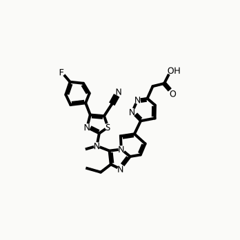 CCc1nc2ccc(-c3ccc(CC(=O)O)nn3)cn2c1N(C)c1nc(-c2ccc(F)cc2)c(C#N)s1